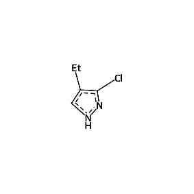 CCc1c[nH]nc1Cl